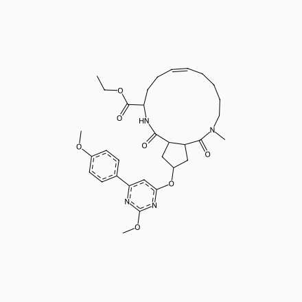 CCOC(=O)C1CCC=CCCCCN(C)C(=O)C2CC(Oc3cc(-c4ccc(OC)cc4)nc(OC)n3)CC2C(=O)N1